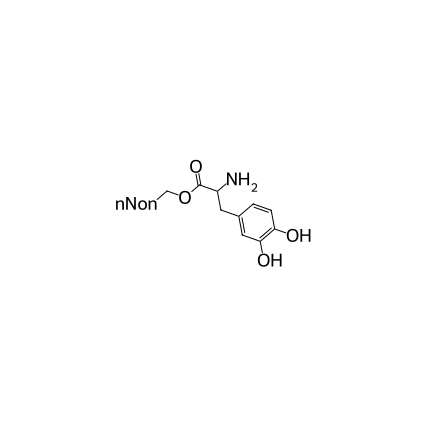 CCCCCCCCCCOC(=O)C(N)Cc1ccc(O)c(O)c1